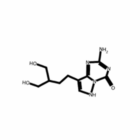 Nc1nc(=O)n2[nH]cc(CCC(CO)CO)c2n1